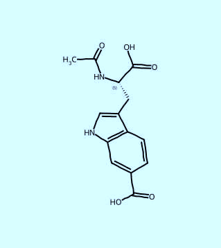 CC(=O)N[C@@H](Cc1c[nH]c2cc(C(=O)O)ccc12)C(=O)O